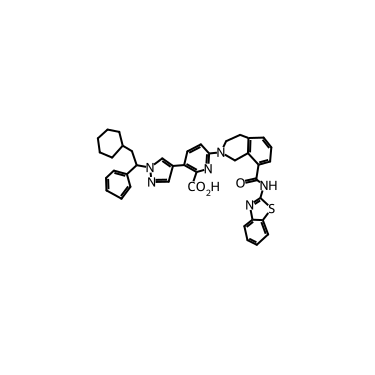 O=C(Nc1nc2ccccc2s1)c1cccc2c1CN(c1ccc(-c3cnn(C(CC4CCCCC4)c4ccccc4)c3)c(C(=O)O)n1)CC2